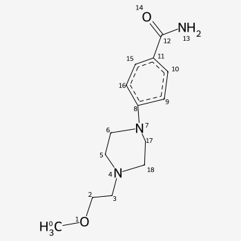 COCCN1CCN(c2ccc(C(N)=O)cc2)CC1